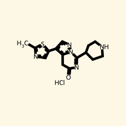 Cc1ncc(-c2cnn3c2CC(=O)N=C3C2CCNCC2)s1.Cl